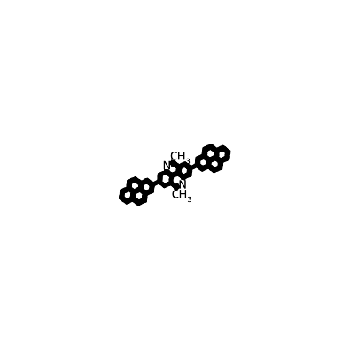 CC1=Nc2cc(-c3cc4ccc5cccc6ccc(c3)c4c56)cc3c(C)nc4c(c23)C1CC(c1cc2ccc3cccc5ccc(c1)c2c35)=C4